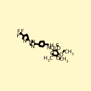 CCO[C@@H]1[C@@H](OC)[C@H](C)O[C@@H](O/N=C/c2ccc(-c3ncn(-c4ccc(C(F)(F)F)cn4)n3)cc2)[C@@H]1OC